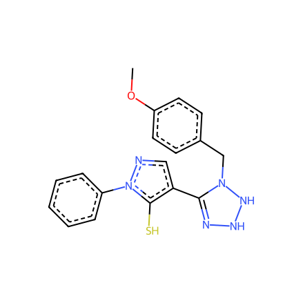 COc1ccc(CN2NNN=C2c2cnn(-c3ccccc3)c2S)cc1